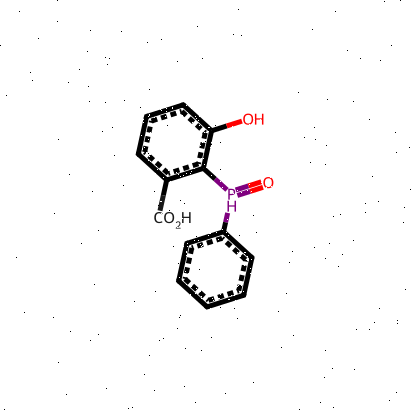 O=C(O)c1cccc(O)c1[PH](=O)c1ccccc1